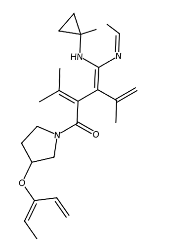 C=C/C(=C\C)OC1CCN(C(=O)C(=C(C)C)/C(C(=C)C)=C(/N=C\C)NC2(C)CC2)C1